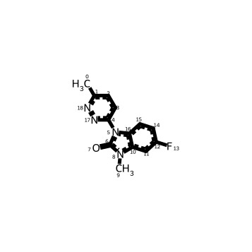 Cc1ccc(-n2c(=O)n(C)c3cc(F)ccc32)nn1